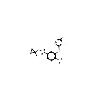 CC1(NS(=O)(=O)c2ccc([N+](=O)[O-])c(Nc3nnc(Cl)s3)c2)CC1